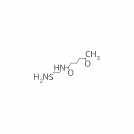 CC(=O)CCCC(=O)NCCSN